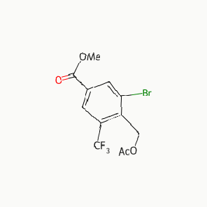 COC(=O)c1cc(Br)c(COC(C)=O)c(C(F)(F)F)c1